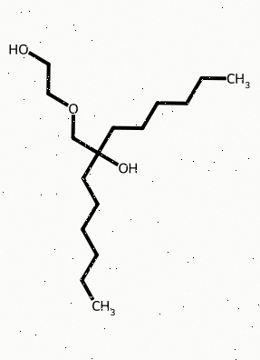 CCCCCCC(O)(CCCCCC)COCCO